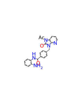 CC(=O)n1c(=O)n(Cc2ccc(C(=O)Nc3ccccc3N)cc2)c2ncccc21